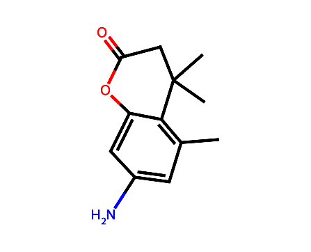 Cc1cc(N)cc2c1C(C)(C)CC(=O)O2